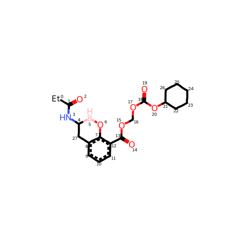 CCC(=O)NC1BOc2c(cccc2C(=O)OCOC(=O)OC2CCCCC2)C1